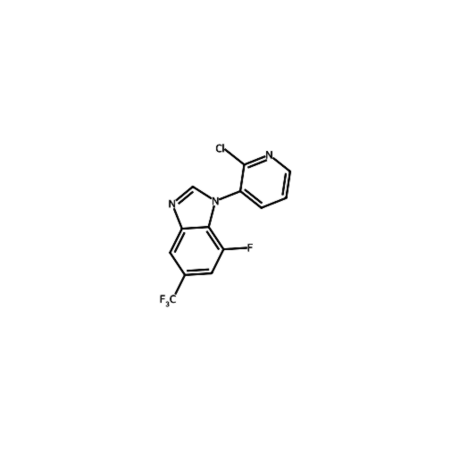 Fc1cc(C(F)(F)F)cc2ncn(-c3cccnc3Cl)c12